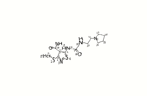 CCCCCCSc1nsc(NC(=O)NCCN2CCCC2)c1C(N)=O